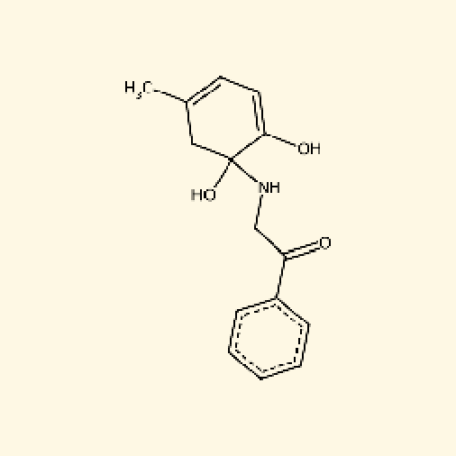 CC1=CC=C(O)C(O)(NCC(=O)c2ccccc2)C1